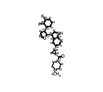 CN1CCN(C(=O)[C@H]2C[C@H]2c2cnc3[nH]cc(-c4oncc4-c4cccc(F)c4F)c3c2)CC1